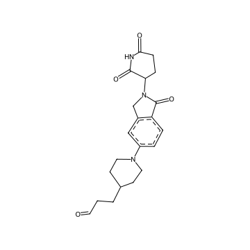 O=CCCC1CCN(c2ccc3c(c2)CN(C2CCC(=O)NC2=O)C3=O)CC1